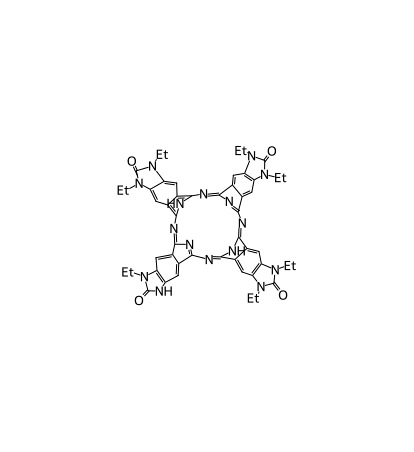 CCn1c(=O)[nH]c2cc3c(cc21)-c1nc-3nc2[nH]c(nc3nc(nc4[nH]c(n1)c1cc5c(cc41)n(CC)c(=O)n5CC)-c1cc4c(cc1-3)n(CC)c(=O)n4CC)c1cc3c(cc21)n(CC)c(=O)n3CC